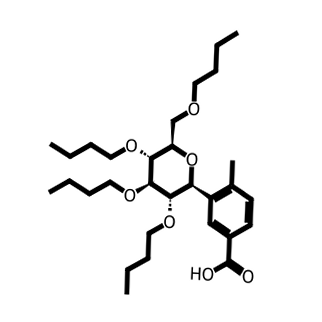 CCCCOC[C@H]1O[C@@H](c2cc(C(=O)O)ccc2C)[C@H](OCCCC)[C@@H](OCCCC)[C@@H]1OCCCC